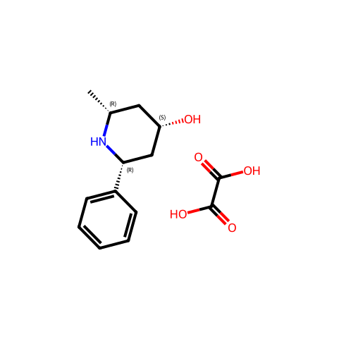 C[C@@H]1C[C@H](O)C[C@H](c2ccccc2)N1.O=C(O)C(=O)O